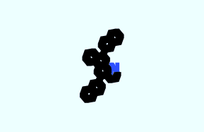 c1ccc2cc(-c3cc4c(cc(-c5ccc6ccccc6c5)c5cccnc54)c4ccccc34)ccc2c1